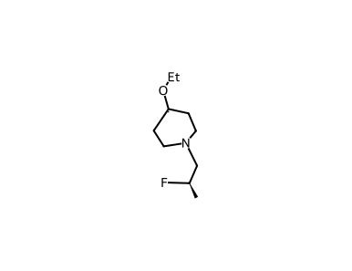 CCO[C]1CCN(C[C@@H](C)F)CC1